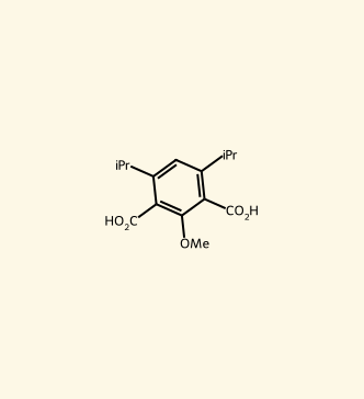 COc1c(C(=O)O)c(C(C)C)cc(C(C)C)c1C(=O)O